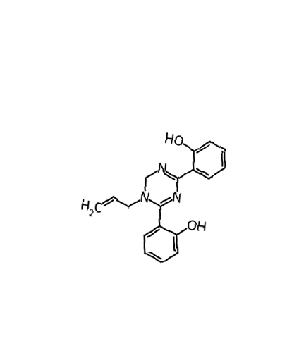 C=CCN1CN=C(c2ccccc2O)N=C1c1ccccc1O